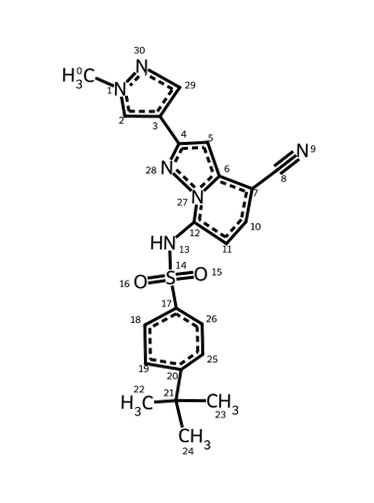 Cn1cc(-c2cc3c(C#N)ccc(NS(=O)(=O)c4ccc(C(C)(C)C)cc4)n3n2)cn1